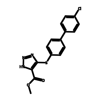 COC(=O)c1[nH]nnc1Sc1ccc(-c2ccc(Cl)cc2)cc1